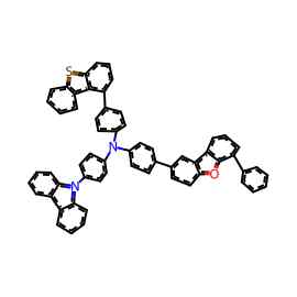 c1ccc(-c2cccc3c2oc2ccc(-c4ccc(N(c5ccc(-c6cccc7sc8ccccc8c67)cc5)c5ccc(-n6c7ccccc7c7ccccc76)cc5)cc4)cc23)cc1